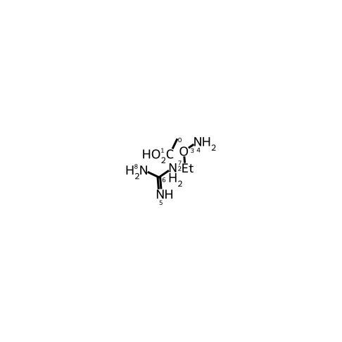 CC(=O)O.CCON.N=C(N)N